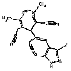 CC1=C(C#N)C(c2ccc3[nH]nc(I)c3c2)C(C#N)=C(C)N1